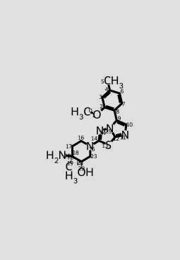 COc1cc(C)ccc1-c1cnc2sc(N3CC[C@](C)(N)[C@@H](O)C3)nn12